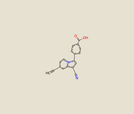 C#Cc1ccn2c(-c3ccc(C(=O)O)cc3)cc(C#N)c2c1